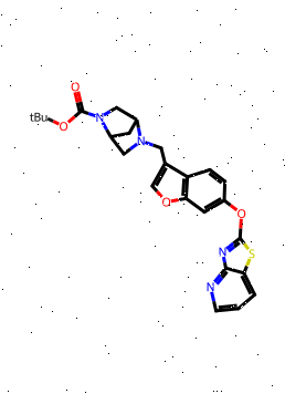 CC(C)(C)OC(=O)N1CC2CC1CN2Cc1coc2cc(Oc3nc4ncccc4s3)ccc12